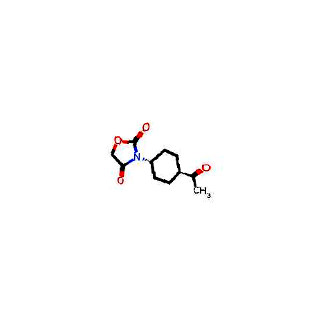 CC(=O)[C@H]1CC[C@H](N2C(=O)COC2=O)CC1